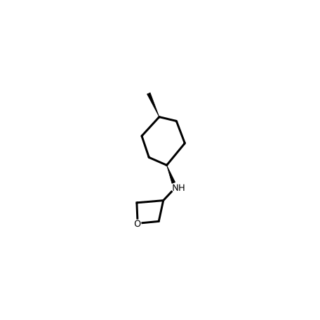 C[C@H]1CC[C@@H](NC2COC2)CC1